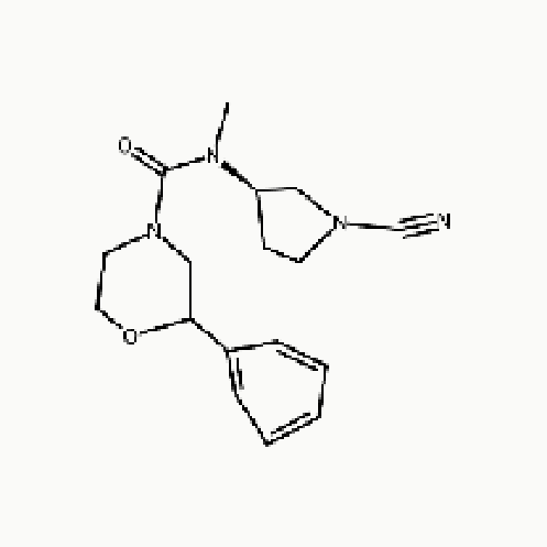 CN(C(=O)N1CCOC(c2ccccc2)C1)[C@@H]1CCN(C#N)C1